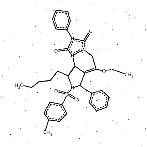 CCCCCC1C2C(=C(OCC)Cn3c(=O)n(-c4ccccc4)c(=O)n32)C(c2ccccc2)N1S(=O)(=O)c1ccc(C)cc1